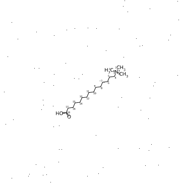 C[N+](C)(C)CCCCCCCCCCCCCCC(=O)O